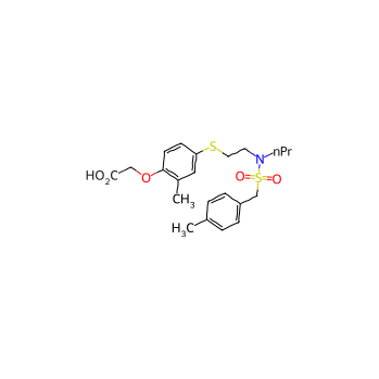 CCCN(CCSc1ccc(OCC(=O)O)c(C)c1)S(=O)(=O)Cc1ccc(C)cc1